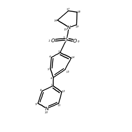 O=S(=O)(c1ccc(-c2ccncc2)cc1)N1CCCC1